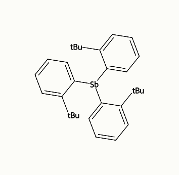 CC(C)(C)c1cccc[c]1[Sb]([c]1ccccc1C(C)(C)C)[c]1ccccc1C(C)(C)C